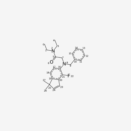 CCN(CC)C(=O)CN(Cc1ccccc1)c1ccc2c(c1F)C=CC2(C)C